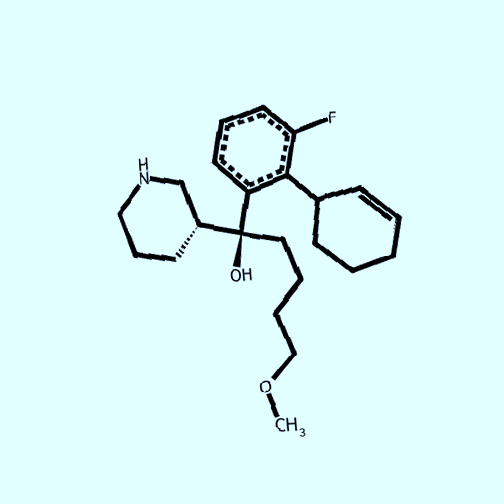 COCCCC[C@@](O)(c1cccc(F)c1C1C=CCCC1)[C@@H]1CCCNC1